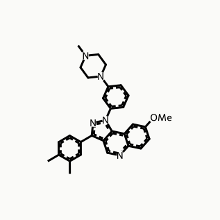 COc1ccc2ncc3c(-c4ccc(C)c(C)c4)nn(-c4cccc(N5CCN(C)CC5)c4)c3c2c1